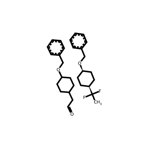 CC(F)(F)[C@H]1CC[C@@H](OCc2ccccc2)CC1.O=CCC1CCC(OCc2ccccc2)CC1